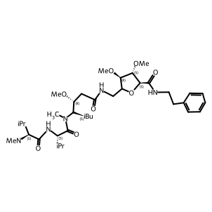 CC[C@H](C)C([C@@H](CC(=O)NCC1O[C@H](C(=O)NCCc2ccccc2)[C@@H](OC)[C@@H]1OC)OC)N(C)C(=O)[C@@H](NC(=O)[C@@H](NC)C(C)C)C(C)C